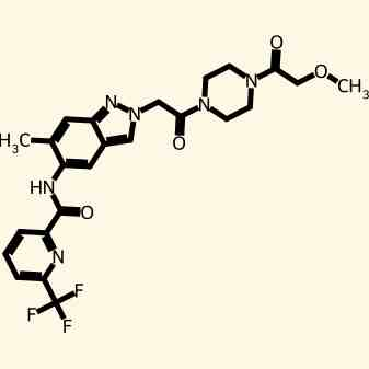 COCC(=O)N1CCN(C(=O)Cn2cc3cc(NC(=O)c4cccc(C(F)(F)F)n4)c(C)cc3n2)CC1